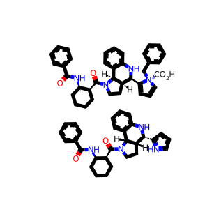 O=C(N[C@@H]1CCCC[C@@H]1C(=O)N1CC[C@@H]2[C@H](C3=CC=C[N+]3(Cc3ccccc3)C(=O)O)Nc3ccccc3[C@@H]21)c1ccccc1.O=C(N[C@@H]1CCCC[C@@H]1C(=O)N1CC[C@H]2[C@@H](c3ccc[nH]3)Nc3ccccc3[C@H]21)c1ccccc1